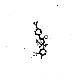 CCc1cc(N(C)NP23=NC(c4ccc(C5CC5)cc4)=C(Cl)C=C2C3)ccc1C